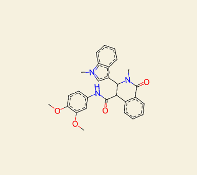 COc1ccc(NC(=O)C2c3ccccc3C(=O)N(C)C2c2cn(C)c3ccccc23)cc1OC